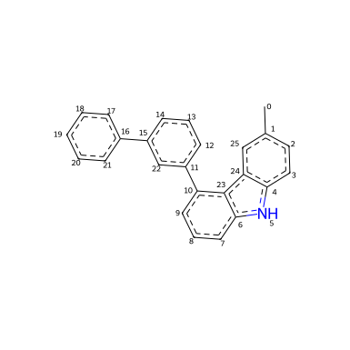 Cc1ccc2[nH]c3cccc(-c4cccc(-c5ccccc5)c4)c3c2c1